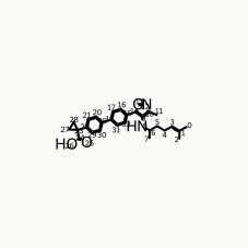 CC(C)=CCCC(C)Nc1c(C)noc1-c1ccc(-c2ccc(C3(C(=O)O)CC3)cc2)cc1